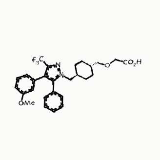 COc1cccc(-c2c(C(F)(F)F)nn(C[C@H]3CC[C@H](COCC(=O)O)CC3)c2-c2ccccc2)c1